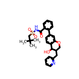 CC(C)(C)CS(=O)(=O)NC(=O)c1ccccc1-c1ccc2c(c1)OCC(Cc1ccccn1)C2O